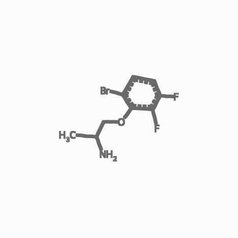 CC(N)COc1c(Br)ccc(F)c1F